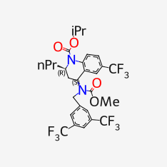 CCC[C@@H]1C[C@H](N(Cc2cc(C(F)(F)F)cc(C(F)(F)F)c2)C(=O)OC)c2cc(C(F)(F)F)ccc2N1C(=O)OC(C)C